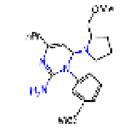 CCCC1=C[C@@H](N2CCCC2COC)N(c2cccc(SC)c2)C(N)=N1